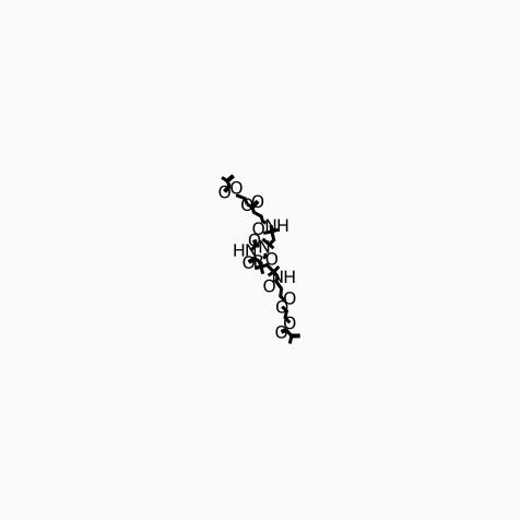 C=C(C)C(=O)OCCOC(=O)CCC(=O)NC(C)(C)CC(C)(C)B1C(=O)NC(=O)N(C(C)(C)CC(C)(C)NC(=O)CCC(=O)OCCOC(=O)C(=C)C)C1=O